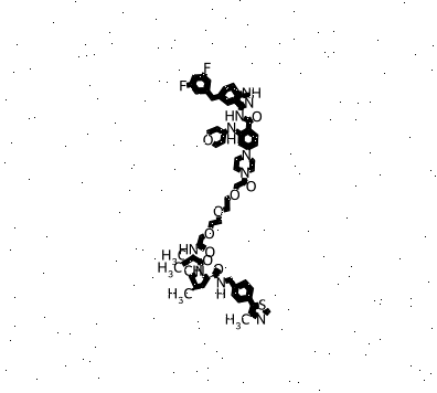 Cc1ncsc1-c1ccc(CNC(=O)[C@@H]2C[C@@H](C)CN2C(=O)[C@@H](NC(=O)COCCOCCOCC(=O)N2CCN(c3ccc(C(=O)Nc4n[nH]c5ccc(Cc6cc(F)cc(F)c6)cc45)c(NC4CCOCC4)c3)CC2)C(C)(C)C)cc1